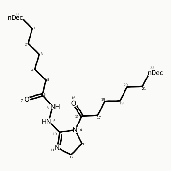 CCCCCCCCCCCCCCCC(=O)NNC1=NCCN1C(=O)CCCCCCCCCCCCCCC